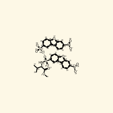 COC(=O)[C@H](NS(=O)(=O)c1ccc2oc3cc([N+](=O)[O-])ccc3c2c1)C(C)C.O=[N+]([O-])c1ccc2c(c1)oc1ccc(S(=O)(=O)Cl)cc12